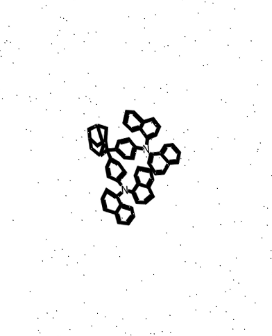 c1ccc2c(N(c3ccc(C4(c5ccc(N(c6cccc7ccccc67)c6cccc7ccccc67)cc5)C5CC6CC(C5)CC4C6)cc3)c3cccc4ccccc34)cccc2c1